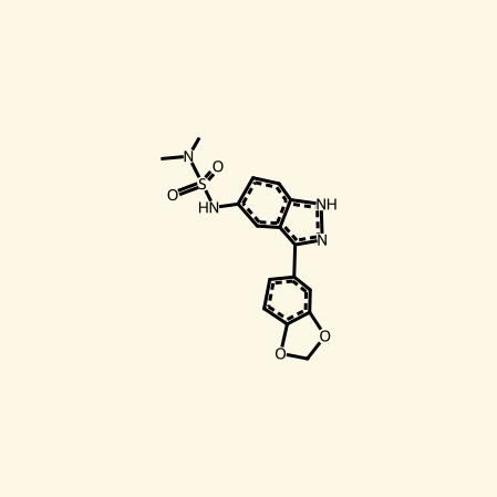 CN(C)S(=O)(=O)Nc1ccc2[nH]nc(-c3ccc4c(c3)OCO4)c2c1